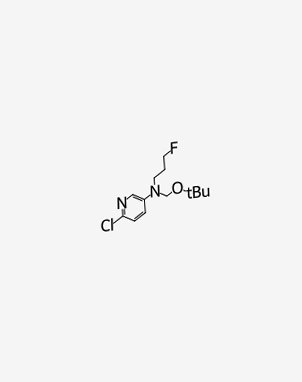 CC(C)(C)OCN(CCCF)c1ccc(Cl)nc1